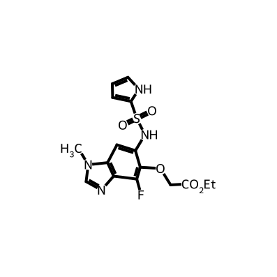 CCOC(=O)COc1c(NS(=O)(=O)c2ccc[nH]2)cc2c(ncn2C)c1F